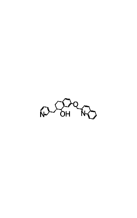 O[C@@H]1c2cc(OCc3ccc4ccccc4n3)ccc2CC[C@@H]1Cc1cccnc1